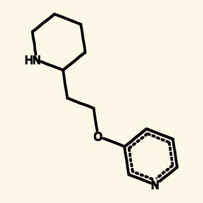 c1cncc(OCCC2CCCCN2)c1